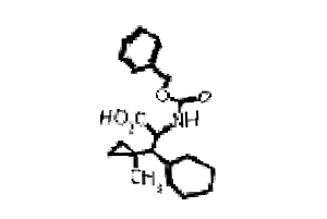 CC1(C(C2CCCCC2)C(NC(=O)OCc2ccccc2)C(=O)O)CC1